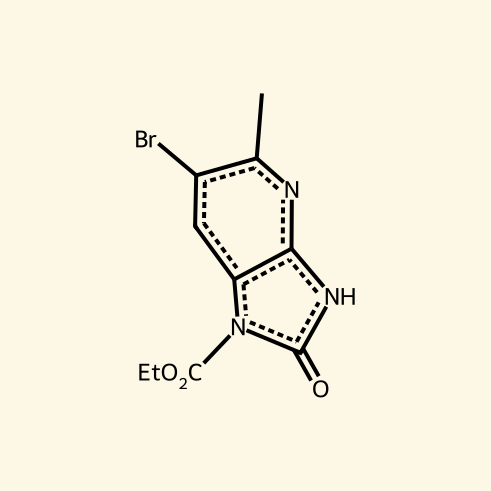 CCOC(=O)n1c(=O)[nH]c2nc(C)c(Br)cc21